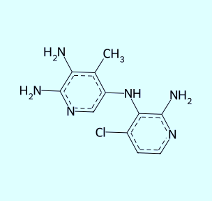 Cc1c(Nc2c(Cl)ccnc2N)cnc(N)c1N